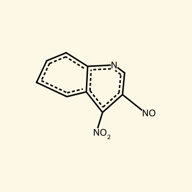 O=Nc1cnc2ccccc2c1[N+](=O)[O-]